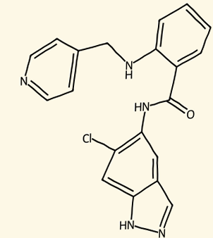 O=C(Nc1cc2cn[nH]c2cc1Cl)c1ccccc1NCc1ccncc1